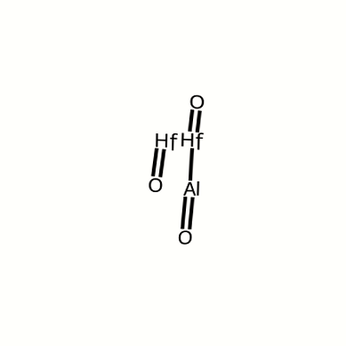 [O]=[Al][Hf]=[O].[O]=[Hf]